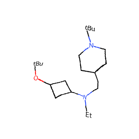 CCN(CC1CCN(C(C)(C)C)CC1)C1CC(OC(C)(C)C)C1